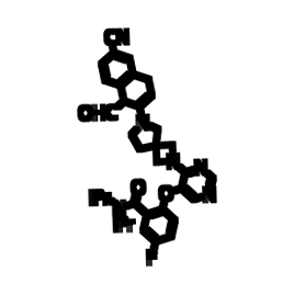 CC(C)N(C(=O)c1cc(F)ccc1Oc1cncnc1N1CC2(CCN(C3=CCc4cc(C#N)ccc4C3C=O)C2)C1)C(C)C